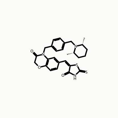 C[C@@H]1CCC[C@H](C)N1Cc1ccc(CN2C(=O)COc3ccc(C=C4SC(=S)NC4=O)cc32)cc1